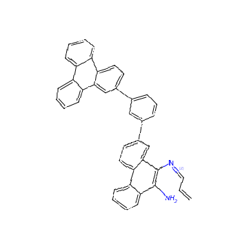 C=C/C=N\c1c(N)c2ccccc2c2ccc(-c3cccc(-c4ccc5c6ccccc6c6ccccc6c5c4)c3)cc12